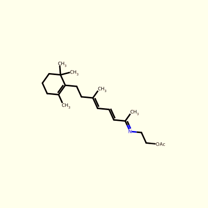 CC(=O)OCC/N=C(C)/C=C/C=C(\C)CCC1=C(C)CCCC1(C)C